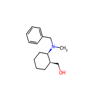 CN(Cc1ccccc1)[C@@H]1CCCC[C@@H]1CO